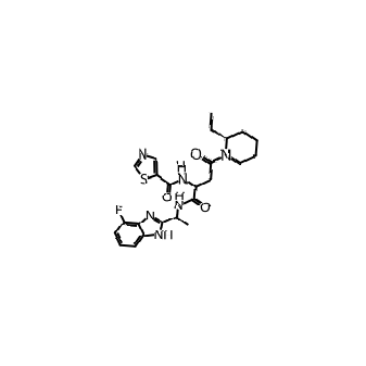 CC[C@H]1CCCCN1C(=O)CC(NC(=O)c1cncs1)C(=O)NC(C)c1nc2c(F)cccc2[nH]1